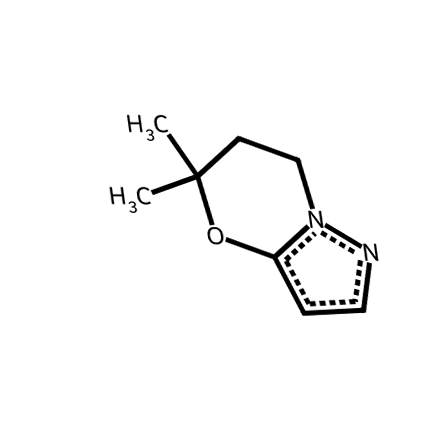 CC1(C)CCn2nccc2O1